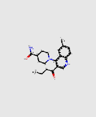 Bc1ccc2ncc(C(=O)CCC)c(N3CCC(C(N)=O)CC3)c2c1